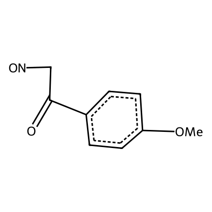 COc1ccc(C(=O)CN=O)cc1